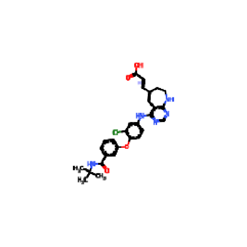 CC(C)(C)NC(=O)c1cccc(Oc2ccc(Nc3ncnc4c3C=C(/C=C/C(=O)O)CCN4)cc2Cl)c1